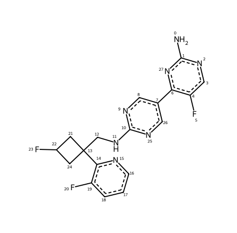 Nc1ncc(F)c(-c2cnc(NCC3(c4ncccc4F)CC(F)C3)nc2)n1